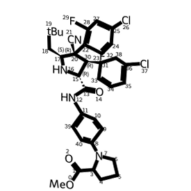 COC(=O)C1CCCN1c1ccc(NC(=O)[C@@H]2N[C@@H](CC(C)(C)C)[C@](C#N)(c3ccc(Cl)cc3F)[C@H]2C2(F)C=CC=C(Cl)C2)cc1